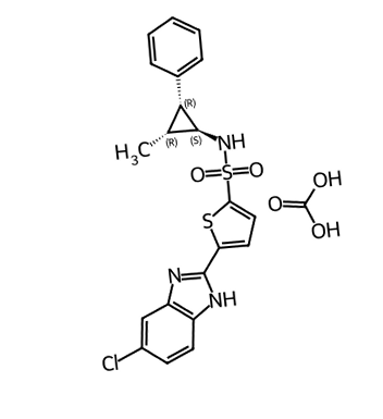 C[C@H]1[C@H](NS(=O)(=O)c2ccc(-c3nc4cc(Cl)ccc4[nH]3)s2)[C@H]1c1ccccc1.O=C(O)O